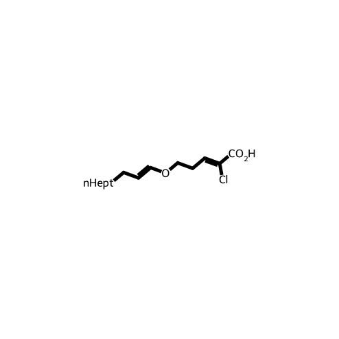 CCCCCCCCC=COCCC=C(Cl)C(=O)O